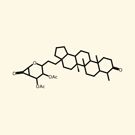 CC(=O)OC1C(CCC23CCCC2C2CCC4C5(C)CCC(=O)C(C)C5CCC4(C)[C@]2(C)CC3)OC2C(=O)C2C1OC(C)=O